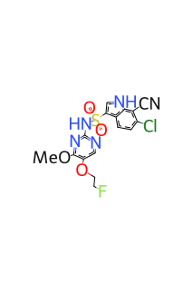 COc1nc(NS(=O)(=O)c2c[nH]c3c(C#N)c(Cl)ccc23)ncc1OCCF